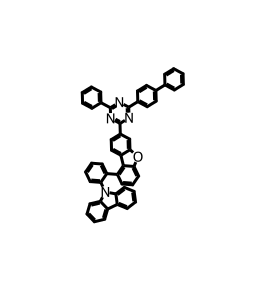 c1ccc(-c2ccc(-c3nc(-c4ccccc4)nc(-c4ccc5c(c4)oc4cccc(-c6ccccc6-n6c7ccccc7c7ccccc76)c45)n3)cc2)cc1